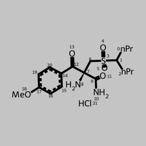 CCCC(CCC)S(=O)(=O)C[C@](N)(C(N)=O)C(=O)c1ccc(OC)cc1.Cl